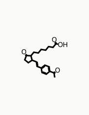 CC(=O)c1ccc(/C=C/C2CCC(=O)C2CCCCCCC(=O)O)cc1